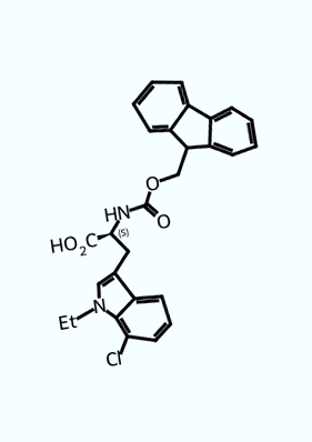 CCn1cc(C[C@H](NC(=O)OCC2c3ccccc3-c3ccccc32)C(=O)O)c2cccc(Cl)c21